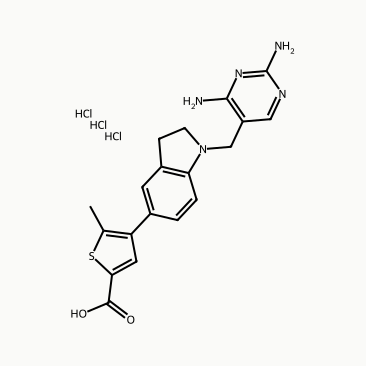 Cc1sc(C(=O)O)cc1-c1ccc2c(c1)CCN2Cc1cnc(N)nc1N.Cl.Cl.Cl